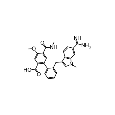 CNC(=O)c1cc(-c2ccccc2Cc2cn(C)c3cc(C(=N)N)ccc23)c(C(=O)O)cc1OC